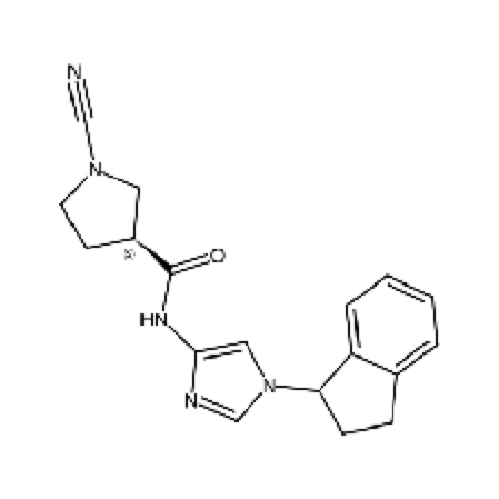 N#CN1CC[C@H](C(=O)Nc2cn(C3CCc4ccccc43)cn2)C1